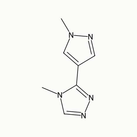 Cn1cc(-c2nncn2C)cn1